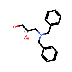 OC[C@@H](O)CN(Cc1ccccc1)Cc1ccccc1